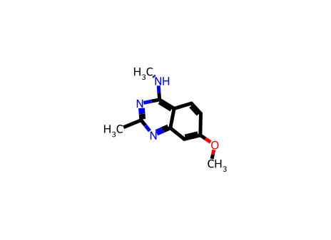 CNc1nc(C)nc2cc(OC)ccc12